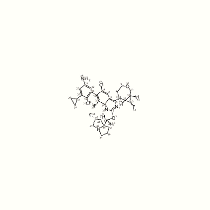 [2H]C([2H])(Oc1nc(N2CCOC[C@@H]3[C@@H](F)[C@@H]32)c2cc(Cl)c(-c3cc(N)cc(C4CC4)c3C(F)(F)F)c(F)c2n1)[C@@]12CCCN1C[C@H](F)C2